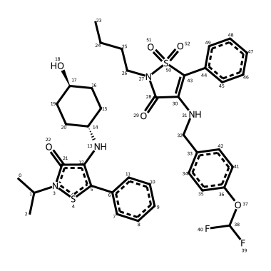 CC(C)n1sc(-c2ccccc2)c(N[C@H]2CC[C@H](O)CC2)c1=O.CCCCN1C(=O)C(NCc2ccc(OC(F)F)cc2)=C(c2ccccc2)S1(=O)=O